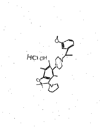 COc1cccc(C(C)N2CCN(c3c(C)c(C)c4c(c3C)C(N3CCCC3)C(C)(C)O4)CC2)c1.Cl.Cl